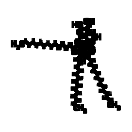 CCCCCCCCCCCCCCCC(=O)C(O)(C(=O)CCCCCCCCCCCCCCC)[C@](O)(C(=O)CCCCCCCCCCCCCCC)C(=O)NC(CS)C(=O)NC(CO)C(=O)O